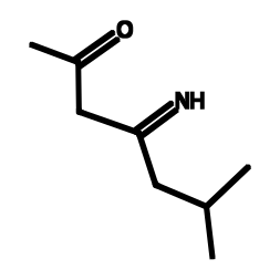 CC(=O)CC(=N)CC(C)C